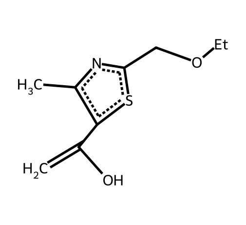 C=C(O)c1sc(COCC)nc1C